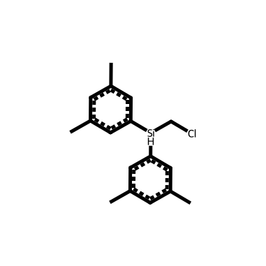 Cc1cc(C)cc([SiH](CCl)c2cc(C)cc(C)c2)c1